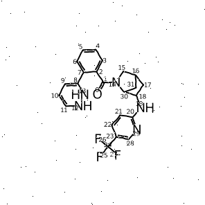 O=C(c1ccccc1C1=CC=CNN1)N1CC2CC(Nc3ccc(C(F)(F)F)cn3)C1C2